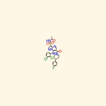 CC(=O)NS(=O)(=O)c1cnn2c(Nc3cccc(Cl)c3Cl)c(C(=O)N3CCC(c4ccc(F)cc4)CC3)cnc12